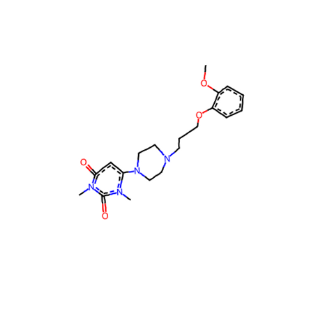 COc1ccccc1OCCCN1CCN(c2cc(=O)n(C)c(=O)n2C)CC1